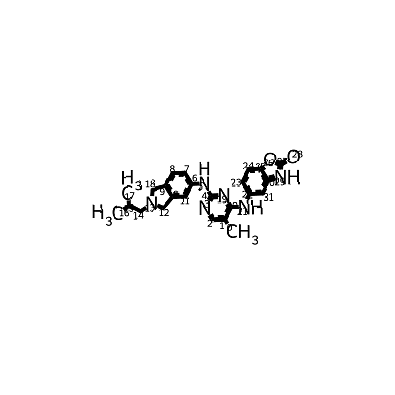 Cc1cnc(Nc2ccc3c(c2)CN(CC(C)C)C3)nc1Nc1ccc2oc(=O)[nH]c2c1